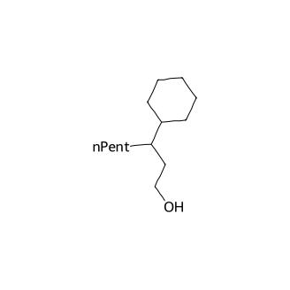 CCCCCC(CCO)C1CCCCC1